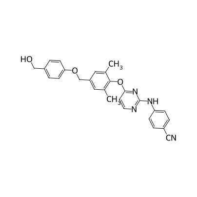 Cc1cc(COc2ccc(CO)cc2)cc(C)c1Oc1ccnc(Nc2ccc(C#N)cc2)n1